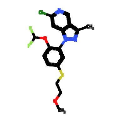 COCCSc1ccc(OC(F)F)c(-n2nc(C)c3cnc(Cl)cc32)c1